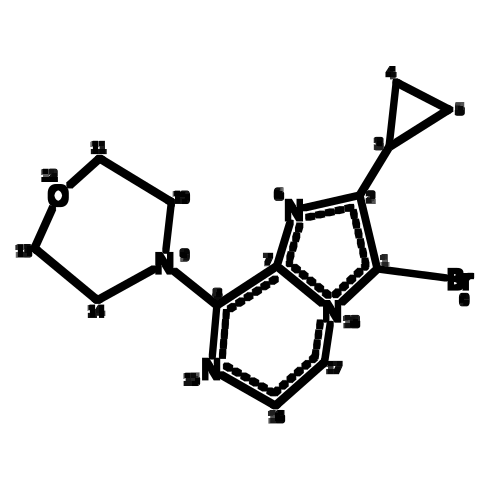 Brc1c(C2CC2)nc2c(N3CCOCC3)nccn12